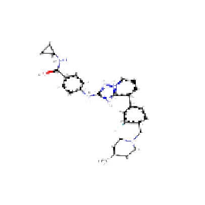 CC1CCN(Cc2ccc(-c3cccn4nc(Nc5ccc(C(=O)NC6CC6)cc5)nc34)cc2F)CC1